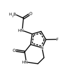 BC(=O)Nc1cc(F)n2c1C(=O)NCC2